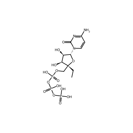 CC[C@]1(COP(=O)(O)OP(=O)(O)OP(=O)(O)O)O[C@@H](n2ccc(N)nc2=O)[C@H](O)[C@@H]1O